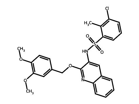 COc1ccc(COc2nc3ccccc3cc2NS(=O)(=O)c2cccc(Cl)c2C)cc1OC